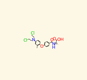 Cc1cc(N(CCCl)CCCl)ccc1Oc1ccc(C(=O)N[C@@H](C)C(=O)O)cc1